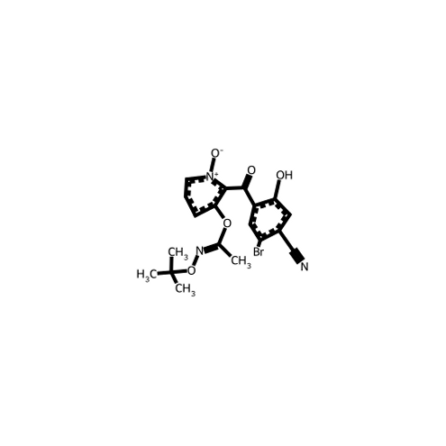 CC(=NOC(C)(C)C)Oc1ccc[n+]([O-])c1C(=O)c1cc(Br)c(C#N)cc1O